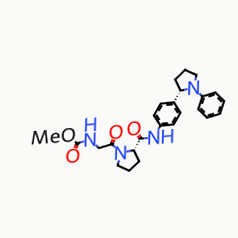 COC(=O)NCC(=O)N1CCC[C@H]1C(=O)Nc1ccc([C@@H]2CCCN2c2ccccc2)cc1